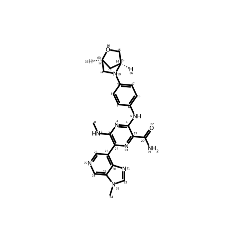 CNc1nc(Nc2ccc(N3C[C@@H]4C[C@H]3CO4)cc2)c(C(N)=O)nc1-c1cncc2c1ncn2C